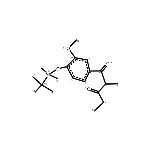 CCC(=O)C(C)C(=O)c1ccc(O[Si](C)(C)C(C)(C)C)c(OC)c1